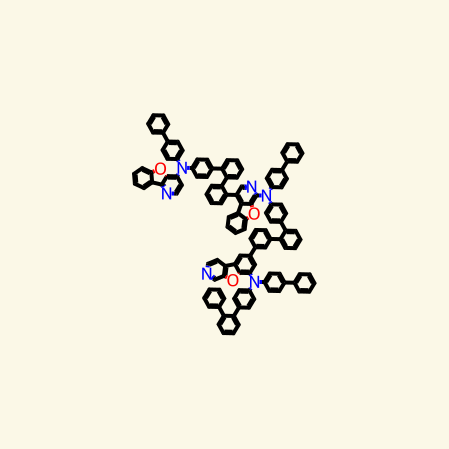 c1ccc(-c2ccc(N(c3ccc(-c4ccccc4-c4ccccc4)cc3)c3cc(-c4cccc(-c5ccccc5-c5ccc(N(c6ccc(-c7ccccc7)cc6)c6ncc(-c7ccccc7-c7ccccc7-c7ccc(N(c8ccc(-c9ccccc9)cc8)c8ccnc9c8oc8ccccc89)cc7)c7c6oc6ccccc67)cc5)c4)cc4c3oc3cnccc34)cc2)cc1